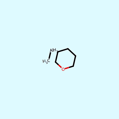 C1CCOCC1.[CH3][AlH2]